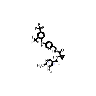 C=C/N=C\C(=C/N)C(=O)NC1(C(=O)NCc2ccc(Nc3ccc(C(F)(F)F)cc3C(F)(F)F)cn2)CC1